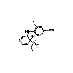 [2H]C1([P@@](C)(=O)CC)C=CN=CC1Nc1ccc(C#C)cc1F